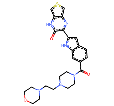 O=C(c1ccc2cc(-c3nc4cscc4[nH]c3=O)[nH]c2c1)N1CCN(CCN2CCOCC2)CC1